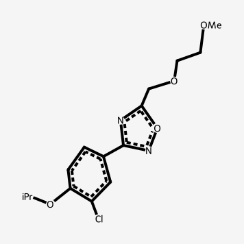 COCCOCc1nc(-c2ccc(OC(C)C)c(Cl)c2)no1